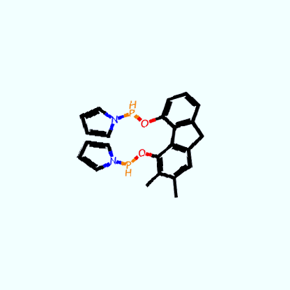 Cc1cc2c(c(OPn3cccc3)c1C)-c1c(cccc1OPn1cccc1)C2